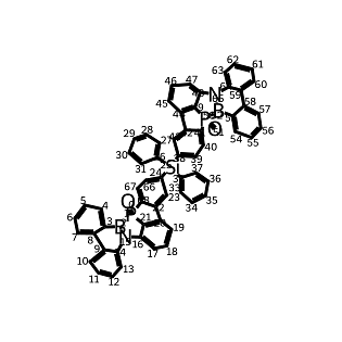 O=P12B3c4ccccc4-c4ccccc4N3c3cccc(c31)-c1cc([Si](c3ccccc3)(c3ccccc3)c3ccc4c(c3)-c3cccc5c3P4(=O)B3c4ccccc4-c4ccccc4N35)ccc12